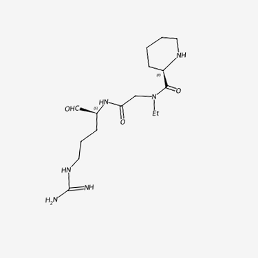 CCN(CC(=O)N[C@H](C=O)CCCNC(=N)N)C(=O)[C@H]1CCCCN1